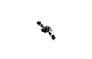 CC1=C(C(=O)OCCOc2ccccc2)C(c2ccccc2F)C(C(=O)OCCOc2ccccc2)=C(C)N1